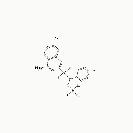 CC[Si](CC)(CC)OC(c1ccc(C)cc1)C(F)(F)C=Cc1cc(C#N)ccc1C(N)=O